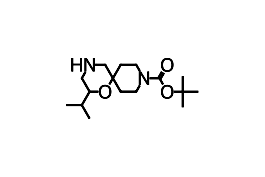 CC(C)C1CNCC2(CCN(C(=O)OC(C)(C)C)CC2)O1